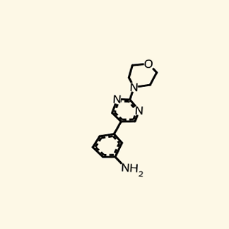 Nc1cccc(-c2cnc(N3CCOCC3)nc2)c1